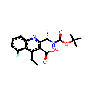 CCc1c(C(=O)O)c([C@H](C)NC(=O)OC(C)(C)C)nc2cccc(F)c12